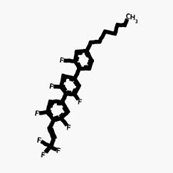 CCCCCCCc1ccc(-c2cc(F)c(-c3cc(F)c(/C=C/C(F)(F)F)c(F)c3)c(F)c2)c(F)c1